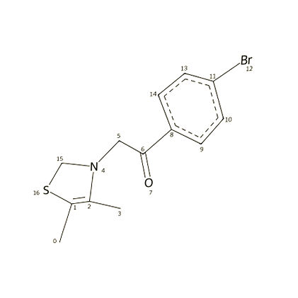 CC1=C(C)N(CC(=O)c2ccc(Br)cc2)CS1